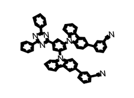 N#Cc1cccc(-c2ccc3c(c2)c2ccccc2n3-c2cc(-c3nc(-c4ccccc4)nc(-c4ccccc4)n3)cc(-n3c4ccccc4c4cc(-c5cccc(C#N)c5)ccc43)c2)c1